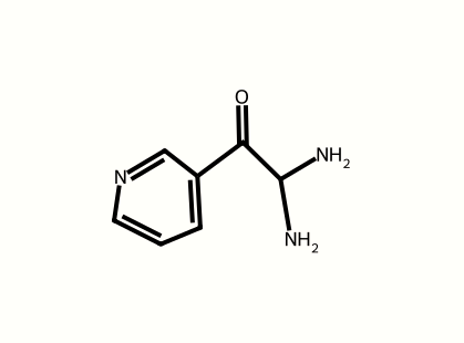 NC(N)C(=O)c1cccnc1